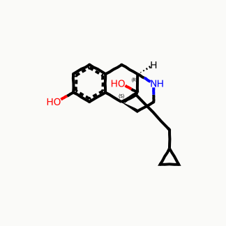 Oc1ccc2c(c1)[C@]13CCN[C@H](C2)C1(O)CC(CC1CC1)CC3